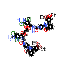 CCOc1ccc(C2=NN(C3CCN(C(=O)CNCC(OC(=O)/C=C/C(=O)OC(CNCC(=O)N4CCC(N5N=C(c6ccc(OCC)c(OCC)c6)[C@H]6CC=CC[C@H]6C5=O)CC4)c4cc(Cl)c(N)c(Cl)c4)c4cc(Cl)c(N)c(Cl)c4)CC3)C(=O)[C@@H]3CC=CC[C@H]23)cc1OCC